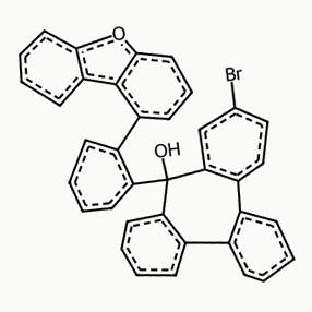 OC1(c2ccccc2-c2cccc3oc4ccccc4c23)c2ccccc2-c2ccccc2-c2ccc(Br)cc21